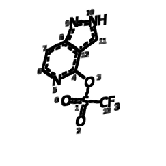 O=S(=O)(Oc1nccc2n[nH]cc12)C(F)(F)F